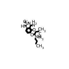 CCCCNC(=O)C(Oc1cccc2c1C(N)=N[S+]([O-])N2)C(C)C